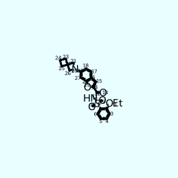 CCOc1ccccc1S(=O)(=O)NC(=O)c1cc2ccc(N3CC4(CCC4)C3)cc2o1